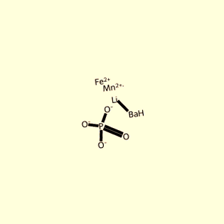 O=P([O-])([O-])[O-].[Fe+2].[Li][BaH].[Mn+2]